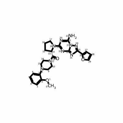 COc1ccccc1N1CCN(C(=O)[C@@H]2CCCN2c2nc(N)n3nc(-c4ccco4)nc3n2)CC1